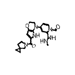 CNNC1C=C(N2CCOc3cc(C(=O)N4CCC5(CC5)C4)[nH]c32)C=CN1C=O